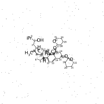 CC(C)C(O)CC[C@@H](C)[C@H]1CC[C@H]2C3=CC=C4C[C@@H](OC5CCCCO5)C[C@H](OC5CCCCO5)[C@]4(C)[C@H]3CC[C@]12C